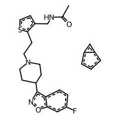 CC(=O)NCc1ccsc1CCN1CCC(c2noc3cc(F)ccc23)CC1.c1cc2cc-2c1